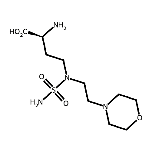 N[C@@H](CCN(CCN1CCOCC1)S(N)(=O)=O)C(=O)O